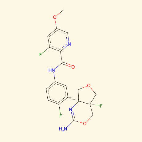 COc1cnc(C(=O)Nc2ccc(F)c([C@]34COC[C@@]3(F)COC(N)=N4)c2)c(F)c1